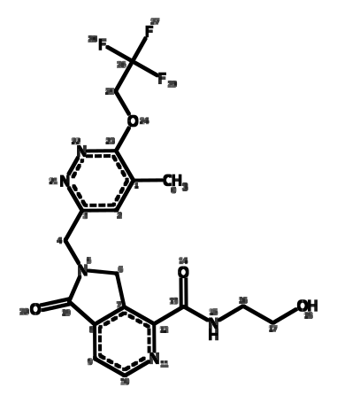 Cc1cc(CN2Cc3c(ccnc3C(=O)NCCO)C2=O)nnc1OCC(F)(F)F